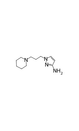 Nc1ccn(CCCN2CCCCC2)n1